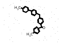 CC1=CC=C(c2ccc(Cc3ccc(C(=O)c4ccc(C)cc4)cc3)cc2)CC1